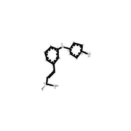 C[C@@H](O)C=Cc1cccc(Oc2ccc(Cl)cc2)c1